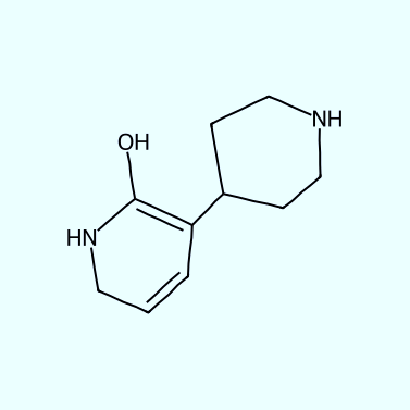 OC1=C(C2CCNCC2)C=CCN1